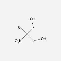 O=[N+]([O-])C(Br)([CH]O)[CH]O